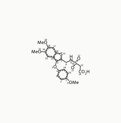 COc1ccc(Oc2c(CNS(=O)(=O)CC(=O)O)sc3cc(OC)c(OC)cc23)cc1